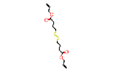 C=CCOC(=O)CCCSSCCCC(=O)OCC=C